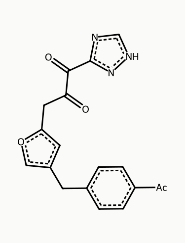 CC(=O)c1ccc(Cc2coc(CC(=O)C(=O)c3nc[nH]n3)c2)cc1